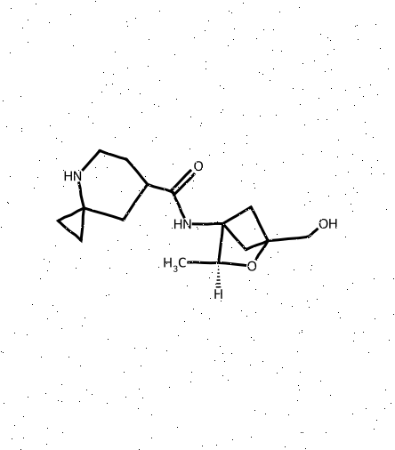 C[C@@H]1OC2(CO)CC1(NC(=O)C1CCNC3(CC3)C1)C2